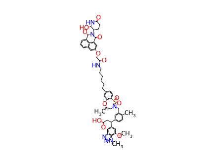 COc1cc(C(CC(=O)O)c2ccc(C)c(CN3C[C@@H](C)Oc4cc(CCCCCCNC(=O)COc5cc6c7c(cccc7c5)C(=O)N(C5CCC(=O)NC5O)C6=O)ccc4S3(=O)=O)c2)cc2nnn(C)c12